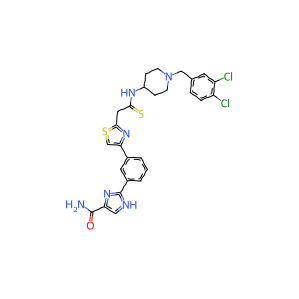 NC(=O)c1c[nH]c(-c2cccc(-c3csc(CC(=S)NC4CCN(Cc5ccc(Cl)c(Cl)c5)CC4)n3)c2)n1